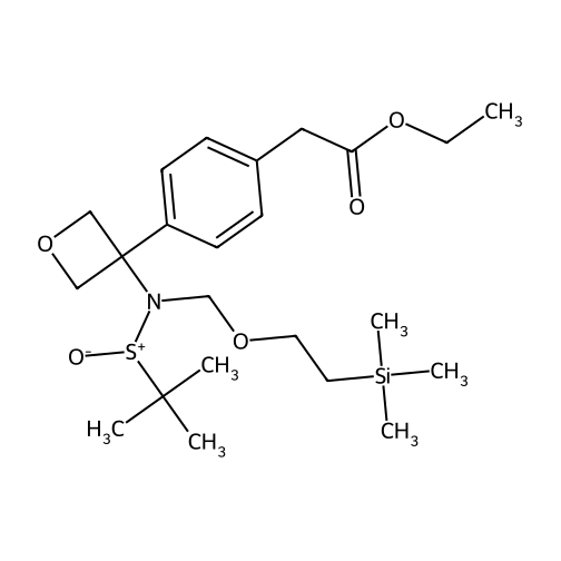 CCOC(=O)Cc1ccc(C2(N(COCC[Si](C)(C)C)[S+]([O-])C(C)(C)C)COC2)cc1